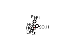 CCN(CC)c1ccc(C(O)(c2ccc(N(CC)CC)cc2)c2ccc(S(=O)(=O)O)cc2S(=O)(=O)O)cc1